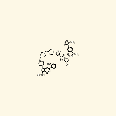 Cc1ncsc1-c1ccc([C@H](C)NC(=O)[C@@H]2C[C@@H](O)CN2C(=O)C(c2cc(N3CCC(CN4CCC(CN5CCC(n6nc(NC(C)C)c7nnc(-c8ccccc8O)cc76)CC5)CC4)CC3)no2)C(C)C)cc1